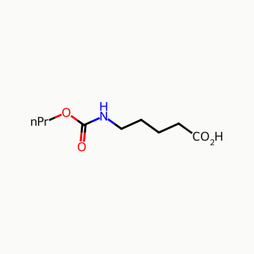 CCCOC(=O)NCCCCC(=O)O